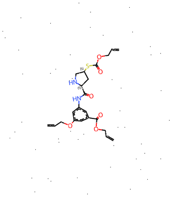 C=CCOC(=O)S[C@@H]1CN[C@H](C(=O)Nc2cc(OCC=C)cc(C(=O)OCC=C)c2)C1